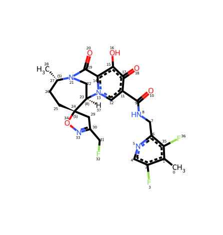 Cc1c(F)cnc(CNC(=O)c2cn3c(c(O)c2=O)C(=O)N2C[C@@H]3[C@]3(CC[C@@H]2C)CC(CF)=NO3)c1F